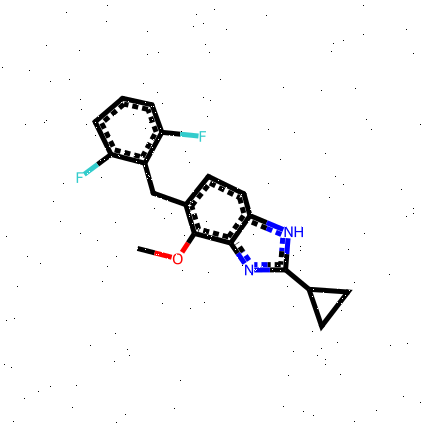 COc1c(Cc2c(F)cccc2F)ccc2[nH]c(C3CC3)nc12